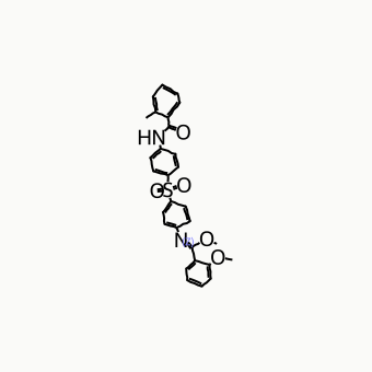 CO/C(=N\c1ccc(S(=O)(=O)c2ccc(NC(=O)c3ccccc3C)cc2)cc1)c1ccccc1OC